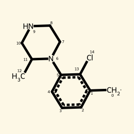 [CH2]c1cccc(N2CCNCC2C)c1Cl